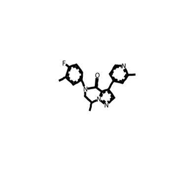 Cc1cc(-c2cnn3c2C(=O)N(c2ccc(F)c(C)c2)CC3C)ccn1